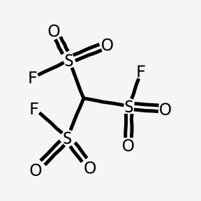 O=S(=O)(F)C(S(=O)(=O)F)S(=O)(=O)F